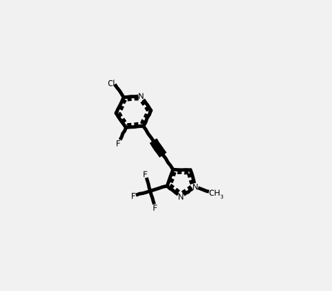 Cn1cc(C#Cc2cnc(Cl)cc2F)c(C(F)(F)F)n1